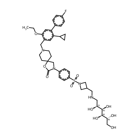 CCOc1cc(-c2ccc(F)cc2)c(C2CC2)cc1CN1CCC2(CC1)CN(c1ccc(S(=O)(=O)N3CC(CNC[C@H](O)[C@@H](O)[C@H](O)[C@H](O)CO)C3)cc1)C(=O)O2